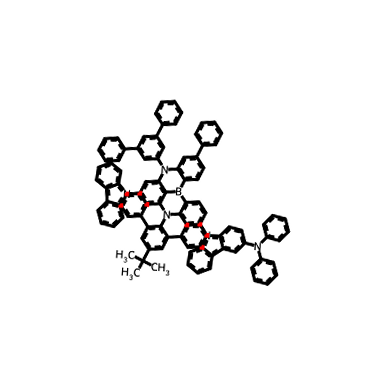 CC(C)(C)c1cc(-c2ccccc2)c(N2c3cc(-n4c5ccccc5c5cc(N(c6ccccc6)c6ccccc6)ccc54)ccc3B3c4ccc(-c5ccccc5)cc4N(c4cc(-c5ccccc5)cc(-c5ccccc5)c4)c4cc(-n5c6ccccc6c6ccccc65)cc2c43)c(-c2ccccc2)c1